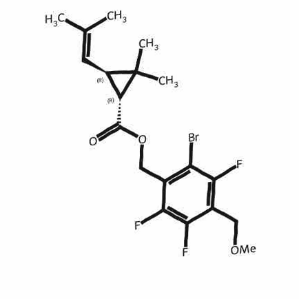 COCc1c(F)c(F)c(COC(=O)[C@@H]2[C@@H](C=C(C)C)C2(C)C)c(Br)c1F